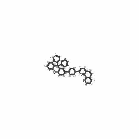 c1ccc(C2(c3ccccc3)c3ccccc3Oc3ccc(-c4ccc(-c5ccc6ccc7cccnc7c6n5)cc4)cc32)cc1